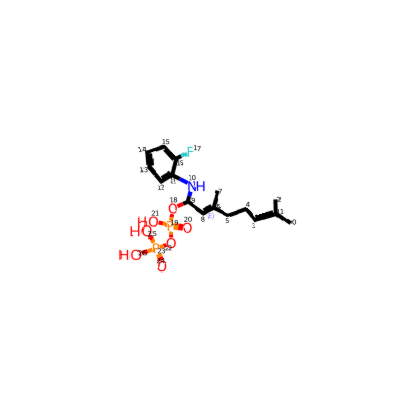 CC(C)=CCC/C(C)=C/C(Nc1ccccc1F)OP(=O)(O)OP(=O)(O)O